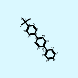 CC(C)(C)c1ccc(-c2ccc(-c3ccccc3)cc2)cc1